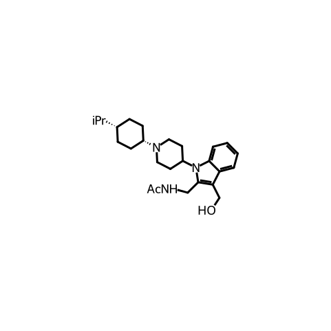 CC(=O)NCc1c(CO)c2ccccc2n1C1CCN([C@H]2CC[C@@H](C(C)C)CC2)CC1